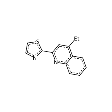 CCc1cc(-c2nccs2)nc2ccccc12